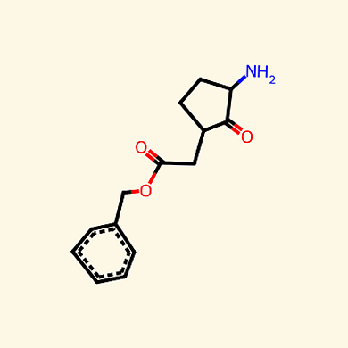 NC1CCC(CC(=O)OCc2ccccc2)C1=O